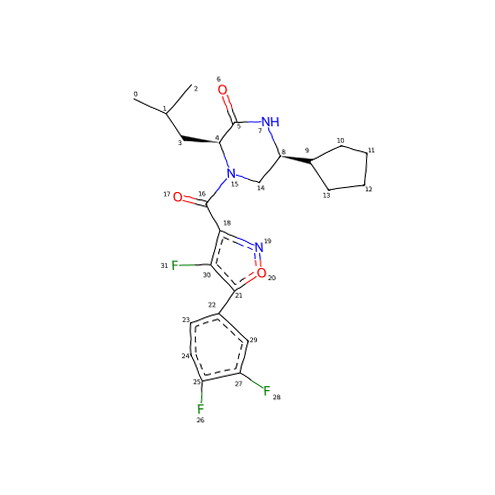 CC(C)C[C@H]1C(=O)N[C@@H](C2CCCC2)CN1C(=O)c1noc(-c2ccc(F)c(F)c2)c1F